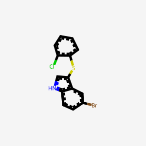 Clc1ccccc1Sc1c[nH]c2ccc(Br)cc12